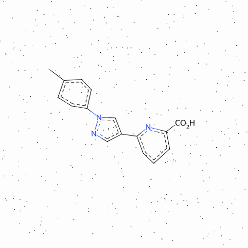 Cc1ccc(-n2cc(-c3cccc(C(=O)O)n3)cn2)cc1